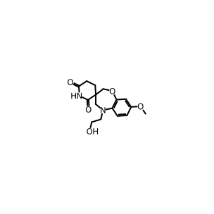 COc1ccc2c(c1)OCC1(CCC(=O)NC1=O)CN2CCO